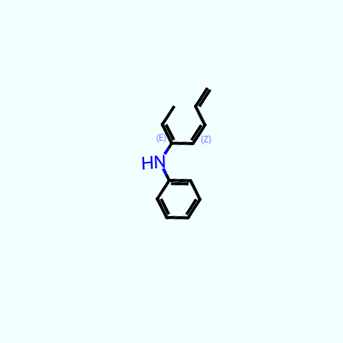 C=C/C=C\C(=C/C)Nc1ccccc1